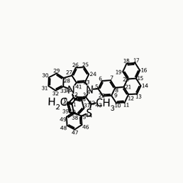 C=C1C=C(N(c2ccc3c(ccc4ccc5ccccc5c43)c2)c2cccc3c4ccccc4n(-c4ccccc4)c23)C(C)Sc2ccccc21